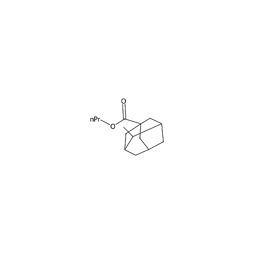 CCCOC(=O)C12CC3CC(C1)C(C)C(C3)C2